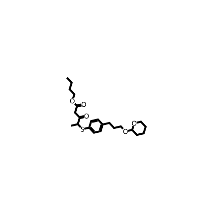 CCCCOC(=O)CC(=O)C(C)Sc1ccc(CCCOC2CCCCO2)cc1